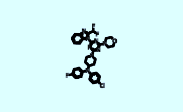 Fc1ccc(N(c2ccc(Cl)cc2)C2CCN(c3nc(N4CCOCC4)nc(-n4c(C(F)F)nc5ccccc54)n3)CC2)cc1